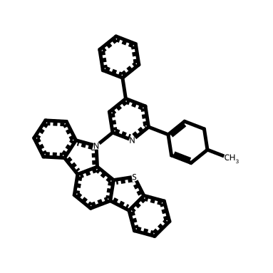 CC1C=CC(c2cc(-c3ccccc3)cc(-n3c4ccccc4c4ccc5c6ccccc6sc5c43)n2)=CC1